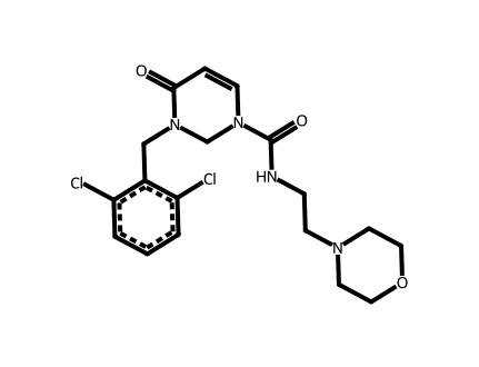 O=C(NCCN1CCOCC1)N1C=CC(=O)N(Cc2c(Cl)cccc2Cl)C1